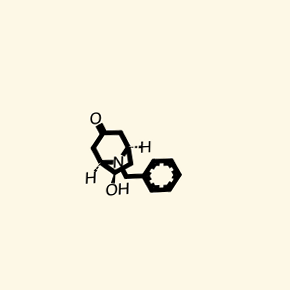 O=C1C[C@H]2C[C@@H](O)[C@@H](C1)N2Cc1ccccc1